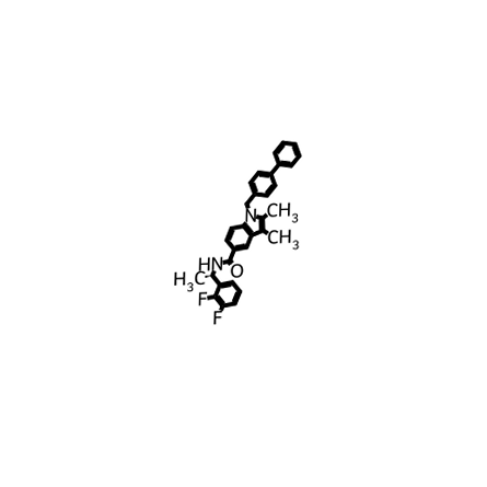 Cc1c(C)n(Cc2ccc(-c3ccccc3)cc2)c2ccc(C(=O)N[C@@H](C)c3cccc(F)c3F)cc12